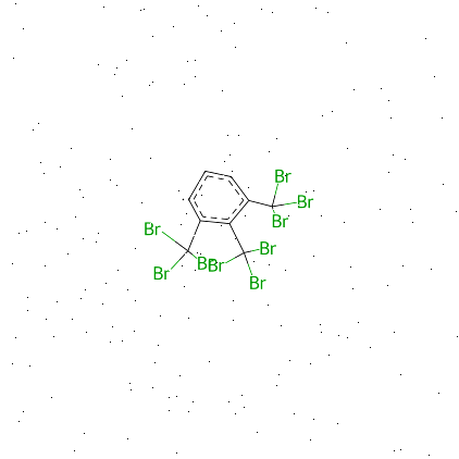 BrC(Br)(Br)c1[c]ccc(C(Br)(Br)Br)c1C(Br)(Br)Br